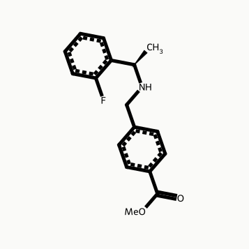 COC(=O)c1ccc(CN[C@H](C)c2ccccc2F)cc1